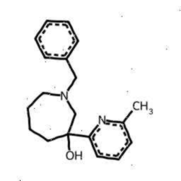 Cc1cccc(C2(O)CCCCN(Cc3ccccc3)C2)n1